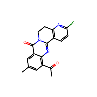 CC(=O)c1cc(C)cc2c(=O)n3c(nc12)-c1ccc(Cl)nc1CC3